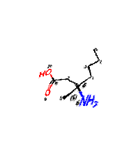 CCCC[C@](C)(N)CC(=O)O